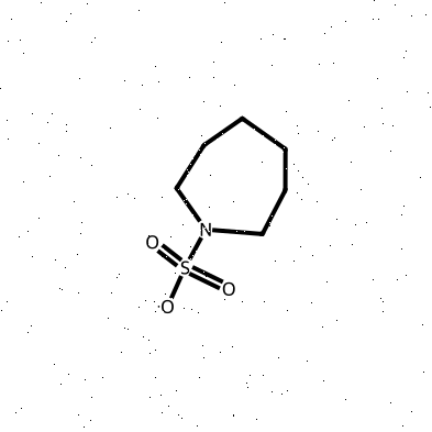 [O]S(=O)(=O)N1CCCCCC1